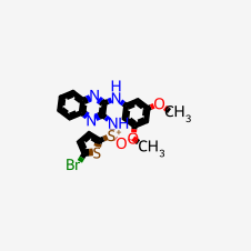 COc1cc(Nc2nc3ccccc3nc2N[S+]([O-])c2ccc(Br)s2)cc(OC)c1